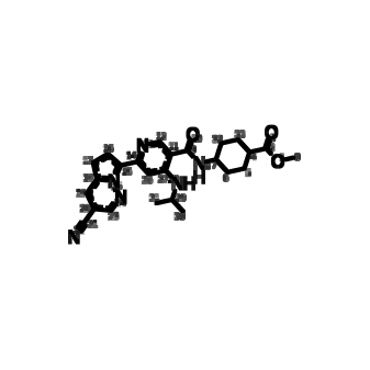 COC(=O)C1CCC(NC(=O)c2cnc(-c3ccc4cc(C#N)cnn34)cc2NC(C)C)CC1